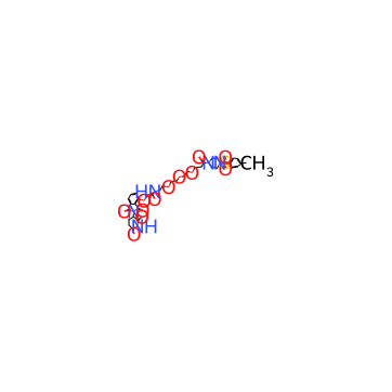 Cc1ccc(S(=O)(=O)N2CCN(C(=O)CCOCCOCCOCCNC(=O)COc3cccc4c3C(=O)N(C3CCC(=O)NC3=O)C4=O)CC2)cc1